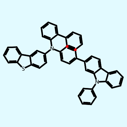 c1ccc(-c2ccccc2N(c2ccc(-c3ccc4c5ccccc5n(-c5ccccc5)c4c3)cc2)c2ccc3sc4ccccc4c3c2)cc1